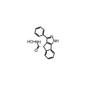 O=C(NO)[C@H]1c2ccccc2-c2[nH]nc(-c3ccccc3)c21